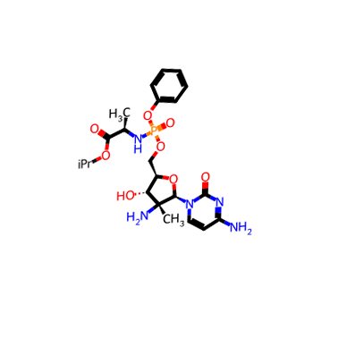 CC(C)OC(=O)[C@@H](C)NP(=O)(OC[C@H]1O[C@@H](n2ccc(N)nc2=O)[C@](C)(N)[C@@H]1O)Oc1ccccc1